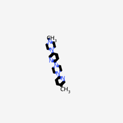 Cc1ccc(N2CCN(c3ccc(N4CCN(C)CC4)cn3)CC2)nc1